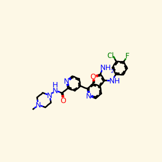 CN1CCN(NC(=O)c2cc(-c3nccc4c(Nc5ccc(F)c(Cl)c5)c(N)oc34)ccn2)CC1